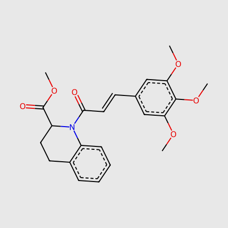 COC(=O)C1CCc2ccccc2N1C(=O)/C=C/c1cc(OC)c(OC)c(OC)c1